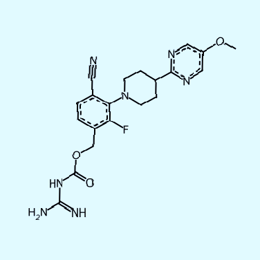 COc1cnc(C2CCN(c3c(C#N)ccc(COC(=O)NC(=N)N)c3F)CC2)nc1